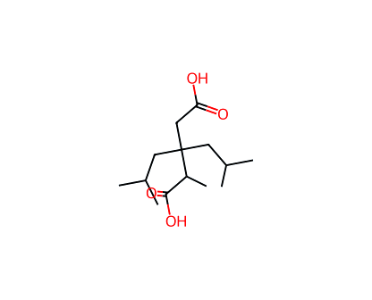 CC(C)CC(CC(=O)O)(CC(C)C)C(C)C(=O)O